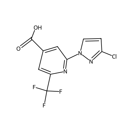 O=C(O)c1cc(-n2ccc(Cl)n2)nc(C(F)(F)F)c1